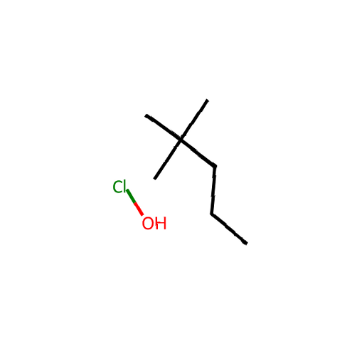 CCCC(C)(C)C.OCl